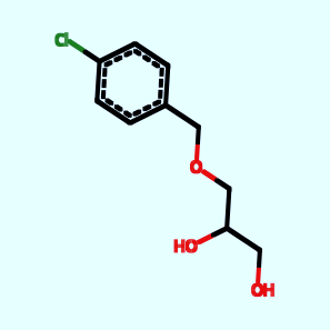 OCC(O)COCc1ccc(Cl)cc1